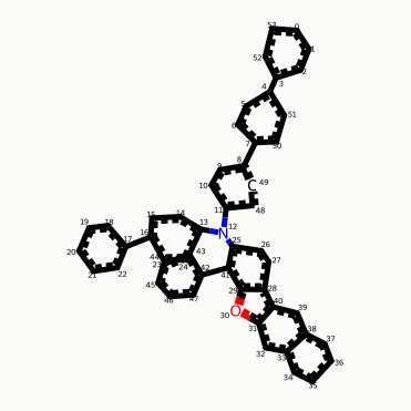 c1ccc(-c2ccc(-c3ccc(N(c4ccc(-c5ccccc5)cc4)c4ccc5c(oc6cc7ccccc7cc65)c4-c4ccccc4)cc3)cc2)cc1